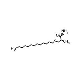 CCCCCCCCCCCCCSCC(C)C(=O)NN